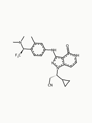 Cc1cc(Nc2nn([C@@H](CC#N)C3CC3)c3cc[nH]c(=O)c23)ccc1[C@H](N(C)C)C(F)(F)F